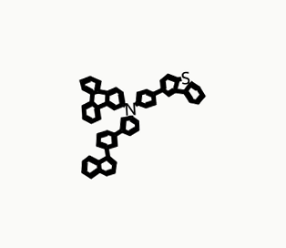 c1cc(-c2cccc(N(c3ccc(-c4ccc5sc6ccccc6c5c4)cc3)c3ccc4c5ccccc5c5ccccc5c4c3)c2)cc(-c2cccc3ccccc23)c1